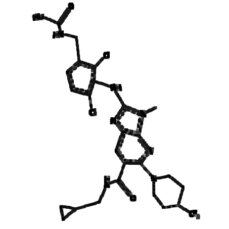 Cn1c(Nc2c(Cl)ccc(CNC(=O)C(C)(C)C)c2Cl)nc2cc(C(=O)NCC3CC3)c(N3CCC(C(F)(F)F)CC3)nc21